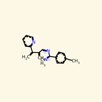 C=C(/C=N\C(=N/C)c1ccc(C)cc1)C(=C)c1ccccn1